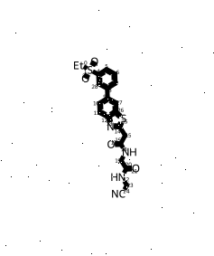 CCS(=O)(=O)c1cccc(-c2ccc3nc(CC(=O)NCC(=O)NCC#N)sc3c2)c1